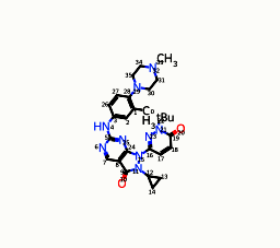 Cc1cc(Nc2ncc3c(=O)n(C4CC4)n(-c4ccc(=O)n(C(C)(C)C)n4)c3n2)ccc1N1CCN(C)CC1